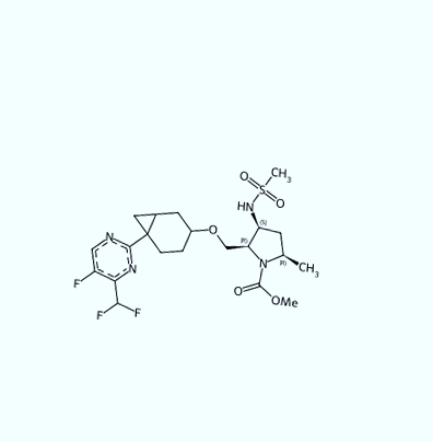 COC(=O)N1[C@H](C)C[C@H](NS(C)(=O)=O)[C@@H]1COC1CCC2(c3ncc(F)c(C(F)F)n3)CC2C1